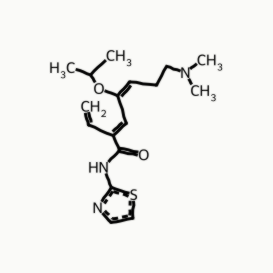 C=C/C(=C\C(=C/CCN(C)C)OC(C)C)C(=O)Nc1nccs1